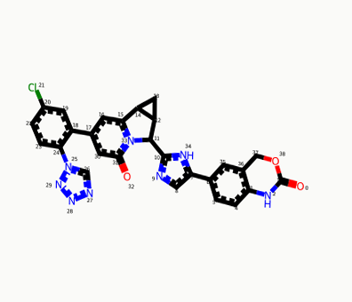 O=C1Nc2ccc(-c3cnc(C4C5CC5c5cc(-c6cc(Cl)ccc6-n6cnnn6)cc(=O)n54)[nH]3)cc2CO1